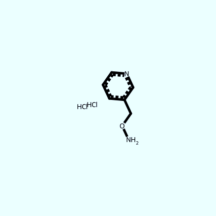 Cl.Cl.NOCc1cccnc1